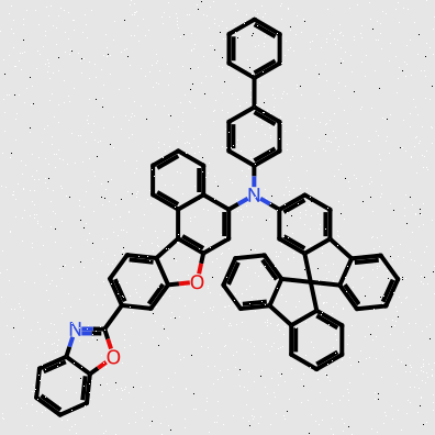 c1ccc(-c2ccc(N(c3ccc4c(c3)C3(c5ccccc5-c5ccccc53)c3ccccc3-4)c3cc4oc5cc(-c6nc7ccccc7o6)ccc5c4c4ccccc34)cc2)cc1